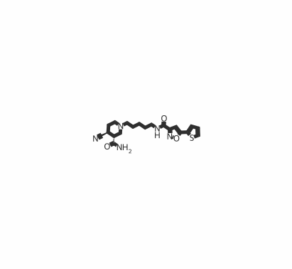 N#C[C@H]1CCN(CCCCCNC(=O)c2cc(-c3cccs3)on2)C[C@@H]1C(N)=O